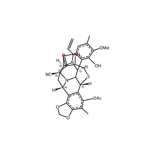 C=CCN1[C@@H]2Cc3cc(C)c(OC)c(O)c3[C@H]1C1[C@@H]3SCC(N)C(=O)OC[C@@H](c4c5c(c(C)c(OC(C)=O)c43)OCO5)N1[C@H]2C#N